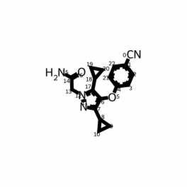 N#Cc1ccc(Oc2c(C3CC3)nn(CC(N)=O)c2C2CC2)cc1